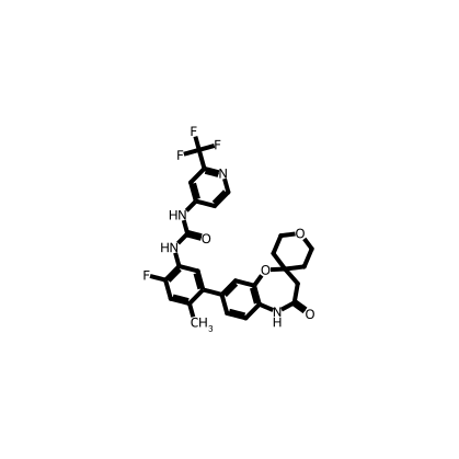 Cc1cc(F)c(NC(=O)Nc2ccnc(C(F)(F)F)c2)cc1-c1ccc2c(c1)OC1(CCOCC1)CC(=O)N2